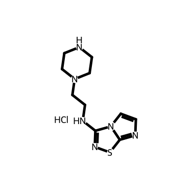 Cl.c1cn2c(NCCN3CCNCC3)nsc2n1